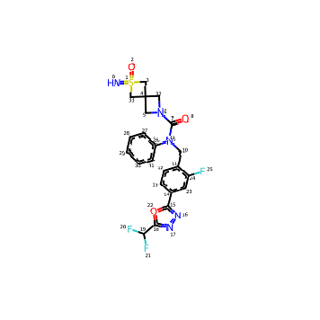 N=S1(=O)CC2(CN(C(=O)N(Cc3ccc(-c4nnc(C(F)F)o4)cc3F)c3ccccc3)C2)C1